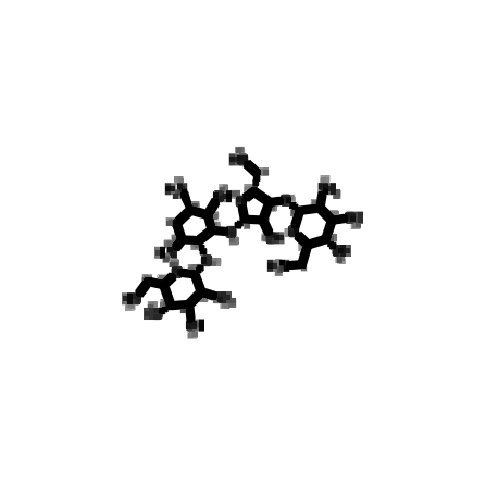 NCC1O[C@H](OC2C(O)[C@H](OC3C(O)[C@H](N)CC(N)[C@H]3O[C@H]3OC(CO)[C@@H](O)C(O)C3N)O[C@@H]2CO)C(N)C(O)[C@@H]1O